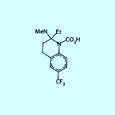 CCC1(NC)CCc2cc(C(F)(F)F)ccc2N1C(=O)O